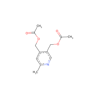 CC(=O)OCc1cnc(C)cc1COC(C)=O